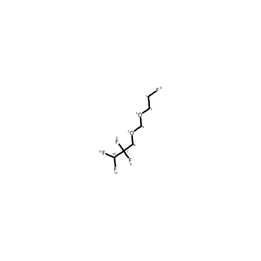 FCCOCOCC(F)(F)C(F)F